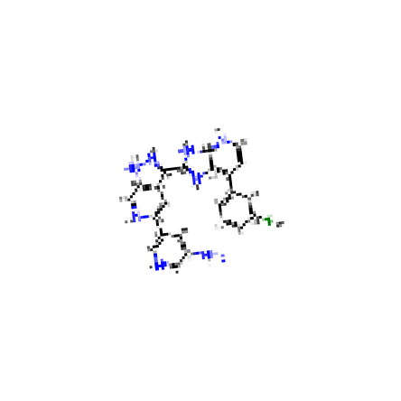 Nc1cncc(-c2cc3c(-c4nc5c(-c6cccc(F)c6)ccnc5[nH]4)n[nH]c3cn2)c1